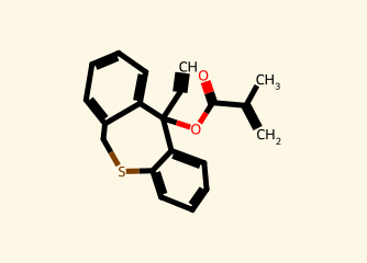 C#CC1(OC(=O)C(=C)C)c2ccccc2CSc2ccccc21